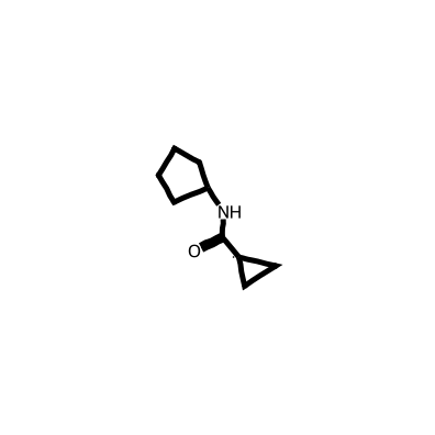 O=C(NC1CCCC1)[C]1CC1